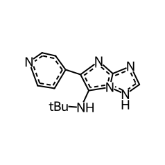 CC(C)(C)Nc1c(-c2ccncc2)nc2nc[nH]n12